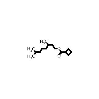 CC(C)=CCCC(C)CCOC(=O)C1CCC1